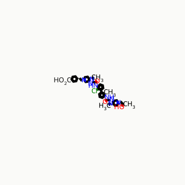 Cc1c(NC(=O)c2nc3c(n2C)CCN(C[C@H](C)O)C3)cccc1-c1cccc(NC(=O)c2nc3c(n2C)CCN(CC[C@H]2CC[C@H](C(=O)O)CC2)C3)c1Cl